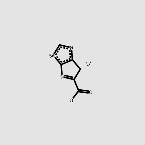 O=C([O-])C1=Nc2[se]cnc2C1.[Li+]